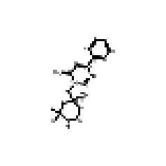 CC1(C)CC(O)(Cn2cnc(-c3ccccc3)cc2=O)CCN1